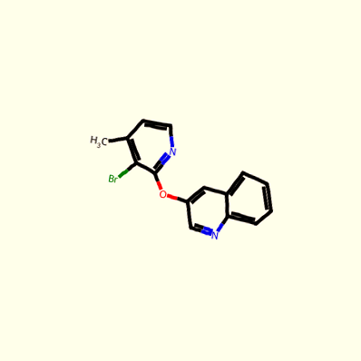 Cc1ccnc(Oc2cnc3ccccc3c2)c1Br